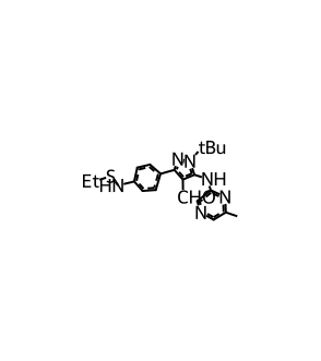 CCSNc1ccc(-c2nn(C(C)(C)C)c(Nc3cncc(C)n3)c2C=O)cc1